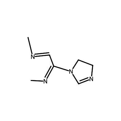 CN=CC(=NC)N1C=NCC1